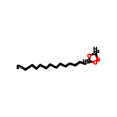 CC(C)CCCCCCCCCCCCC[SiH]1OO[SiH2]O1